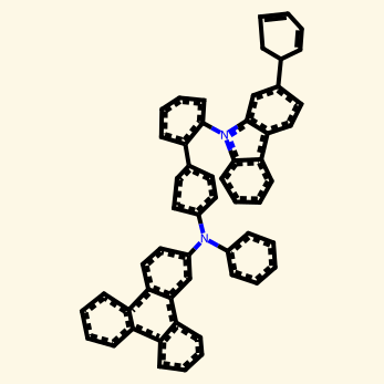 C1=CCC(c2ccc3c4ccccc4n(-c4ccccc4-c4ccc(N(c5ccccc5)c5ccc6c7ccccc7c7ccccc7c6c5)cc4)c3c2)C=C1